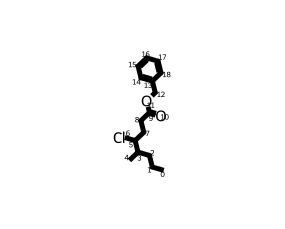 CCCC(C)C(Cl)CCC(=O)OCc1ccccc1